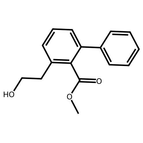 COC(=O)c1c(CCO)cccc1-c1ccccc1